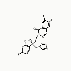 O=c1c2cc(F)c(F)cc2nnn1CCC(O)(Cn1cncn1)c1ccc(F)cc1F